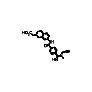 C#CCN(C)C(=N)c1ccc(C(=O)Nc2ccc3c(c2)CC(CC(=O)O)CC3)cc1